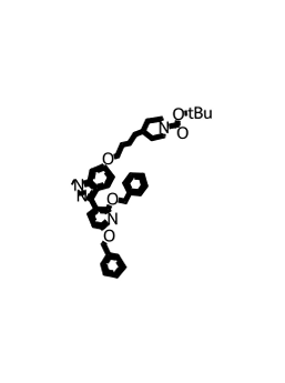 Cn1nc(-c2ccc(OCc3ccccc3)nc2OCc2ccccc2)c2ccc(OCCCCC3CCN(C(=O)OC(C)(C)C)CC3)cc21